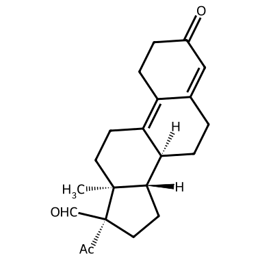 CC(=O)[C@@]1(C=O)CC[C@H]2[C@@H]3CCC4=CC(=O)CCC4=C3CC[C@@]21C